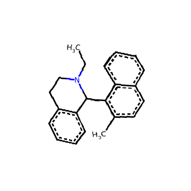 CCN1CCc2ccccc2C1c1c(C)ccc2ccccc12